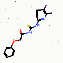 Cc1nc(NC(=S)NC(=O)COc2ccccc2)ccc1I